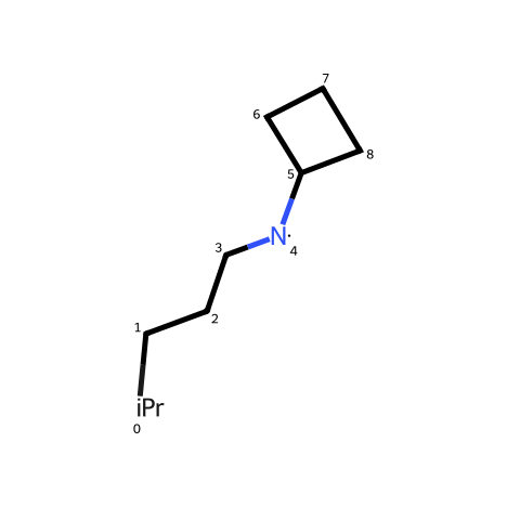 CC(C)CCC[N]C1CCC1